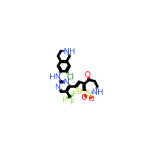 O=C1CCNS(=O)(=O)c2sc(-c3nc(Nc4cc5c(cc4Cl)CNCC5)ncc3C(F)(F)F)cc21